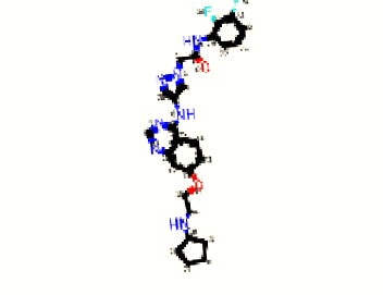 O=C(Cn1cc(Nc2ncnc3cc(OCCNC4CCCC4)ccc23)cn1)Nc1cccc(F)c1F